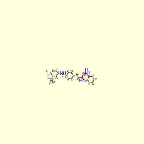 CSc1ccc(NCc2ccc(/C=C/C(=O)Nc3ccccc3N)cc2)cc1C(F)(F)F